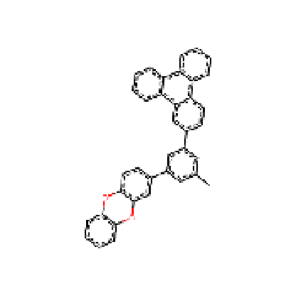 Cc1cc(-c2ccc3c(c2)Oc2ccccc2O3)cc(-c2ccc3c4ccccc4c4ccccc4c3c2)c1